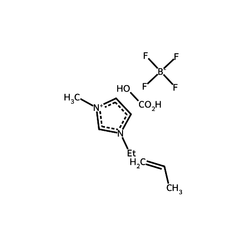 C=CC.CCn1cc[n+](C)c1.F[B-](F)(F)F.O=C(O)O